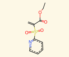 C=C(C(=O)OCC)S(=O)(=O)c1ccccn1